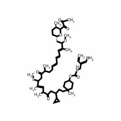 C=C/C(=C\N)CNC(=O)OC1CCC(C)(CCC(CC(=O)C(C)/C=C(\C)C(CC(=O)C(C)CC/C=C/C=C/C=C(\C)C(C[C@@H]2CC[C@@H](C)C(C(=O)C(C)=O)O2)OC)SC)C2CC2)CC1